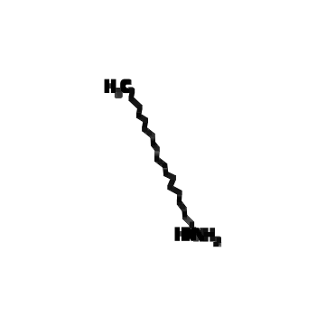 CCCCCCCCCCCCCCCCCCCCNN